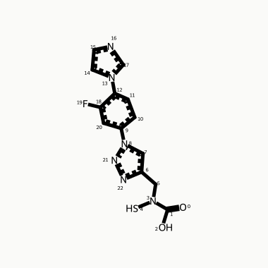 O=C(O)N(S)Cc1cn(-c2ccc(-n3ccnc3)c(F)c2)nn1